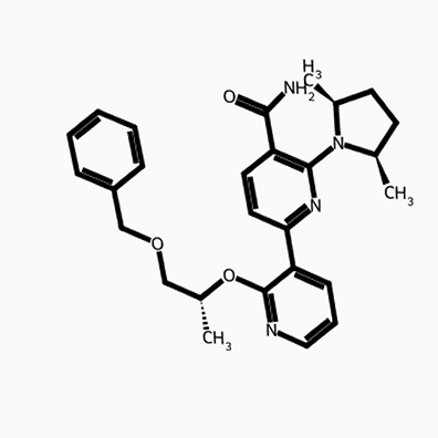 C[C@H](COCc1ccccc1)Oc1ncccc1-c1ccc(C(N)=O)c(N2[C@H](C)CC[C@@H]2C)n1